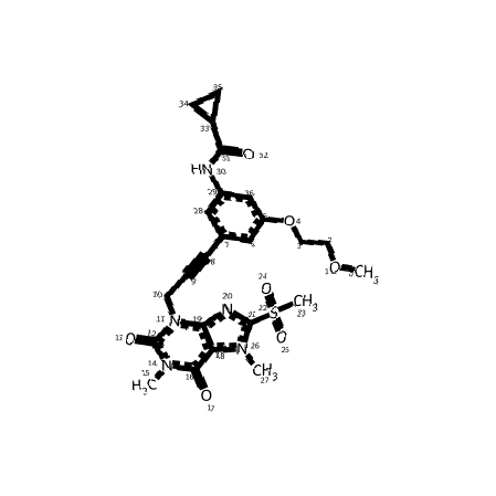 COCCOc1cc(C#CCn2c(=O)n(C)c(=O)c3c2nc(S(C)(=O)=O)n3C)cc(NC(=O)C2CC2)c1